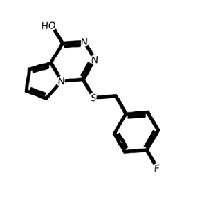 Oc1nnc(SCc2ccc(F)cc2)n2cccc12